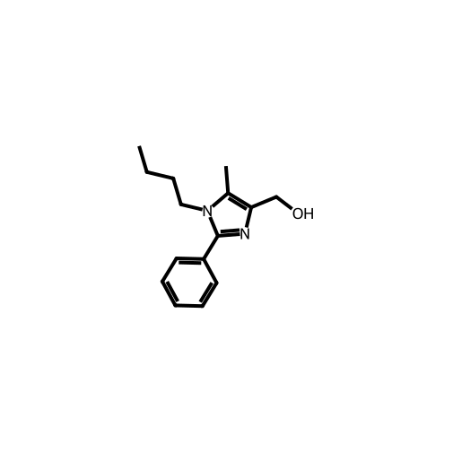 CCCCn1c(-c2ccccc2)nc(CO)c1C